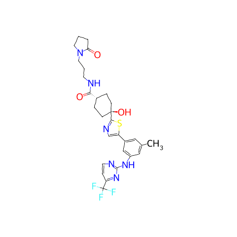 Cc1cc(Nc2nccc(C(F)(F)F)n2)cc(-c2cnc([C@]3(O)CC[C@H](C(=O)NCCCN4CCCC4=O)CC3)s2)c1